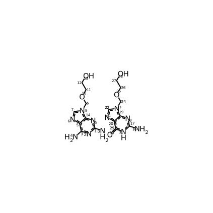 Nc1nc(N)c2ncn(COCCO)c2n1.Nc1nc2c(ncn2COCCO)c(=O)[nH]1